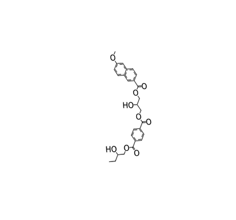 CCC(O)COC(=O)c1ccc(C(=O)OCC(O)COC(=O)c2ccc3cc(OC)ccc3c2)cc1